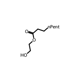 CCCCCCCC(=O)OCCO